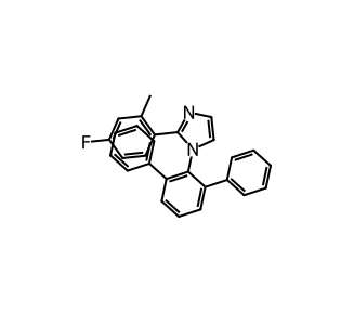 Cc1cc(F)ccc1-c1nccn1-c1c(-c2ccccc2)cccc1-c1ccccc1